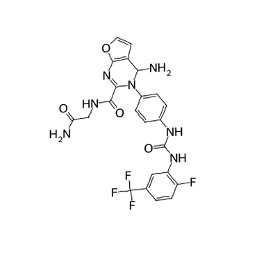 NC(=O)CNC(=O)C1=Nc2occc2C(N)N1c1ccc(NC(=O)Nc2cc(C(F)(F)F)ccc2F)cc1